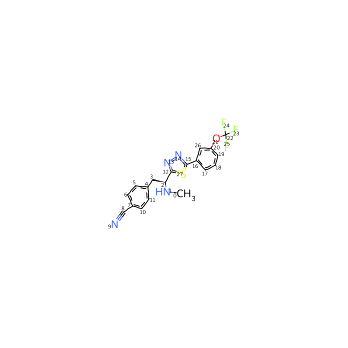 CN[C@@H](Cc1ccc(C#N)cc1)c1nnc(-c2cccc(OC(F)(F)F)c2)s1